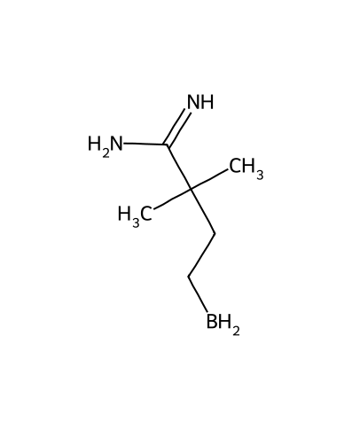 BCCC(C)(C)C(=N)N